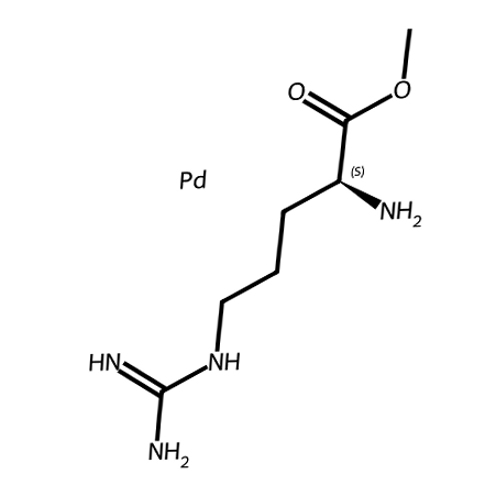 COC(=O)[C@@H](N)CCCNC(=N)N.[Pd]